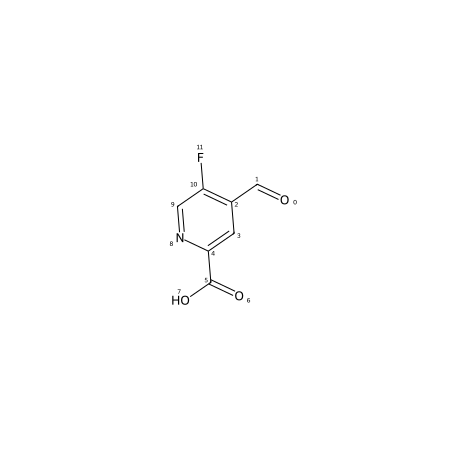 O=Cc1cc(C(=O)O)ncc1F